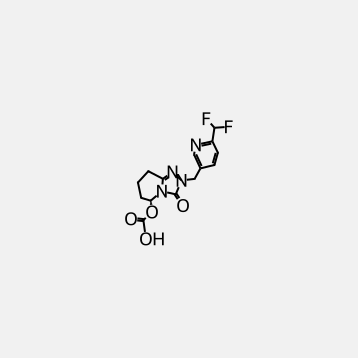 O=C(O)O[C@H]1CCCc2nn(Cc3ccc(C(F)F)nc3)c(=O)n21